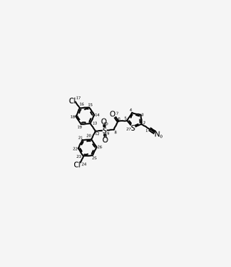 N#Cc1ccc(C(=O)CS(=O)(=O)C(c2ccc(Cl)cc2)c2ccc(Cl)cc2)s1